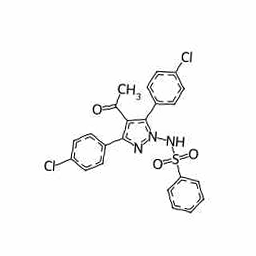 CC(=O)c1c(-c2ccc(Cl)cc2)nn(NS(=O)(=O)c2ccccc2)c1-c1ccc(Cl)cc1